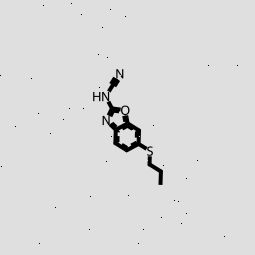 CCCSc1ccc2nc(NC#N)oc2c1